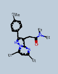 CCc1cc(CC)n2nc(-c3ccc(OC)cc3)c(CC(=O)N(CC)CC)c2n1